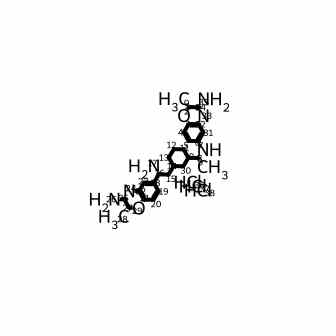 CC1Oc2ccc(NC(C)C3CCCC(CC(N)c4ccc5c(c4)N=C(N)C(C)O5)C3)cc2N=C1N.Cl.Cl.Cl